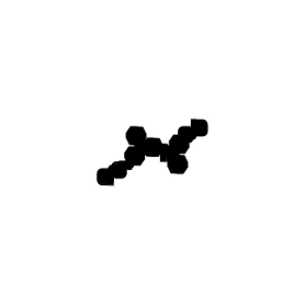 C(=NN(c1ccccc1)c1ccc(OCC2CO2)cc1)c1ccc(N(c2ccccc2)c2ccc(CCOCC3CO3)cc2)cc1